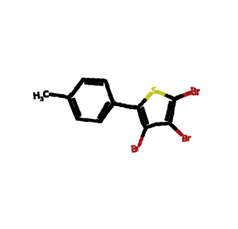 Cc1ccc(-c2sc(Br)c(Br)c2Br)cc1